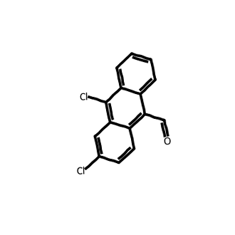 O=Cc1c2ccccc2c(Cl)c2cc(Cl)ccc12